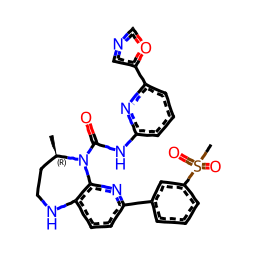 C[C@@H]1CCNc2ccc(-c3cccc(S(C)(=O)=O)c3)nc2N1C(=O)Nc1cccc(-c2cnco2)n1